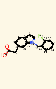 O=C(O)Cc1ccc2ccn(Cc3ccccc3F)c2c1